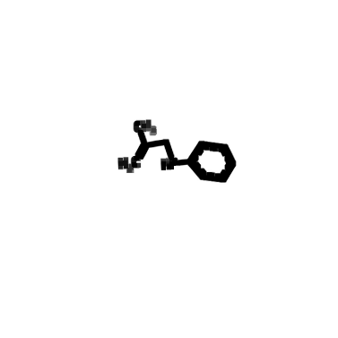 C=C(C)CPc1ccccc1